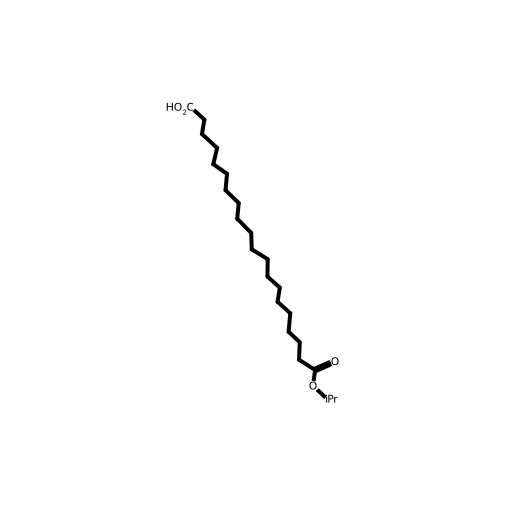 CC(C)OC(=O)CCCCCCCCCCCCCCCCCCC(=O)O